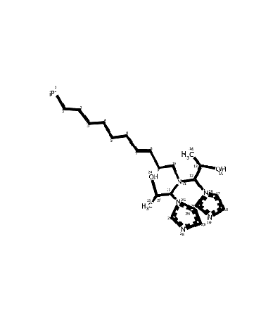 CC(C)CCCCCCCCCCN(C(C(C)O)n1ccnc1)C(C(C)O)n1ccnc1